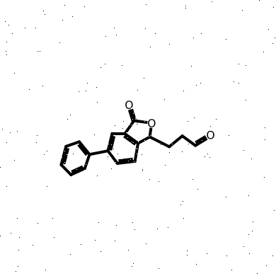 O=CCCC1OC(=O)c2cc(-c3ccccc3)ccc21